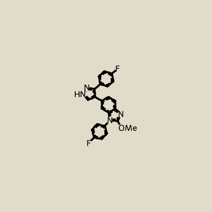 COc1nc2ccc(-c3c[nH]nc3-c3ccc(F)cc3)cc2n1-c1ccc(F)cc1